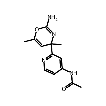 CC(=O)Nc1ccnc(C2(C)C=C(C)OC(N)=N2)c1